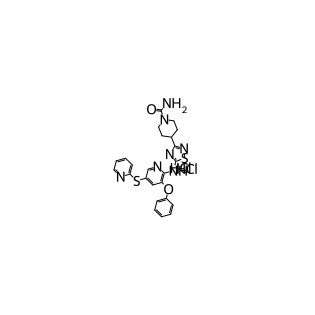 Cl.Cl.NC(=O)N1CCC(c2nsc(Nc3ncc(Sc4ccccn4)cc3Oc3ccccc3)n2)CC1